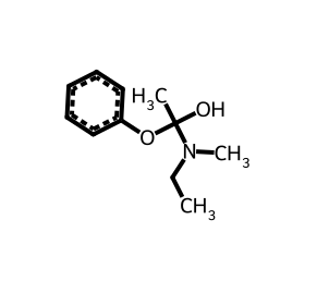 CCN(C)C(C)(O)Oc1ccccc1